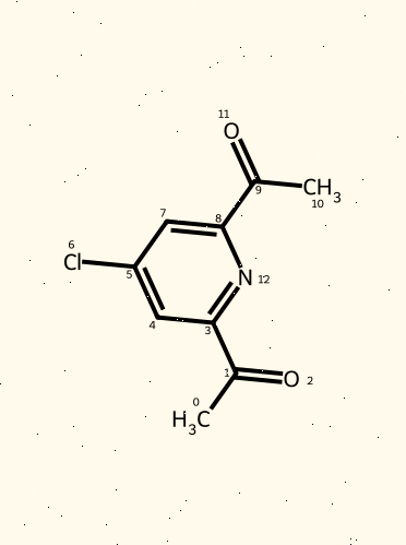 CC(=O)c1cc(Cl)cc(C(C)=O)n1